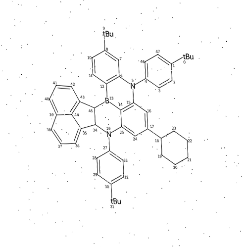 CC(C)(C)c1ccc(N2c3cc(C(C)(C)C)ccc3B3c4c2cc(C2CCCCC2)cc4N(c2ccc(C(C)(C)C)cc2)C2c4cccc5cccc(c45)C32)cc1